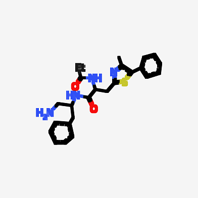 CCC(=O)NC(Cc1nc(C)c(-c2ccccc2)s1)C(=O)NC(CN)Cc1ccccc1